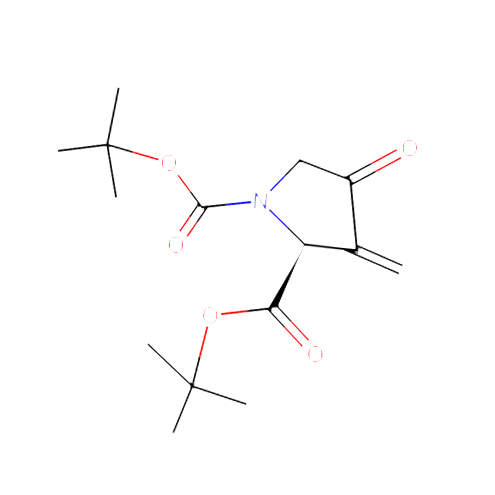 C=C1C(=O)CN(C(=O)OC(C)(C)C)[C@@H]1C(=O)OC(C)(C)C